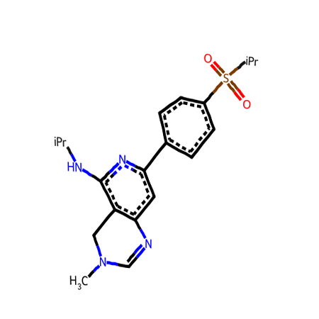 CC(C)Nc1nc(-c2ccc(S(=O)(=O)C(C)C)cc2)cc2c1CN(C)C=N2